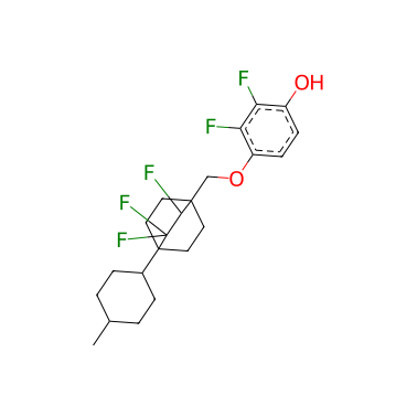 CC1CCC(C23CCC(COc4ccc(O)c(F)c4F)(CC2)C(F)C3(F)F)CC1